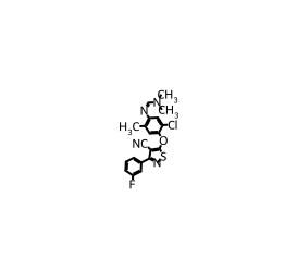 Cc1cc(Oc2snc(-c3cccc(F)c3)c2C#N)c(Cl)cc1/N=C\N(C)C